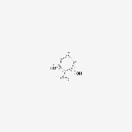 NC1[C@H](O)CNC[C@@H]1O